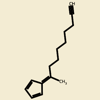 C#CCCCCCCC(C)=C1C=CC=C1